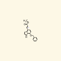 COC(=O)/C=C/c1ccc(OCc2ccccc2)c2[nH]ccc12